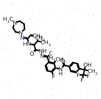 C=C/C(=N\N1CCCN(C)CC1)NC(C(=O)N/N=C(\C)c1ccc(F)c(NC(=O)c2ccc(C(C)(O)C(F)(F)F)cc2)c1C)C(C)C